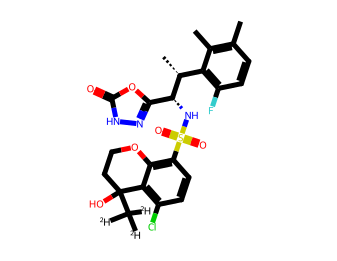 [2H]C([2H])([2H])C1(O)CCOc2c(S(=O)(=O)N[C@H](c3n[nH]c(=O)o3)[C@H](C)c3c(F)ccc(C)c3C)ccc(Cl)c21